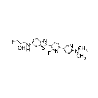 CN(C)c1ccc(-c2ccc(-c3nc4ccc(NC[C@H](O)CF)cc4s3)c(F)n2)cn1